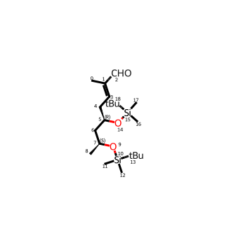 CC(C=O)=CC[C@H](C[C@H](C)O[Si](C)(C)C(C)(C)C)O[Si](C)(C)C(C)(C)C